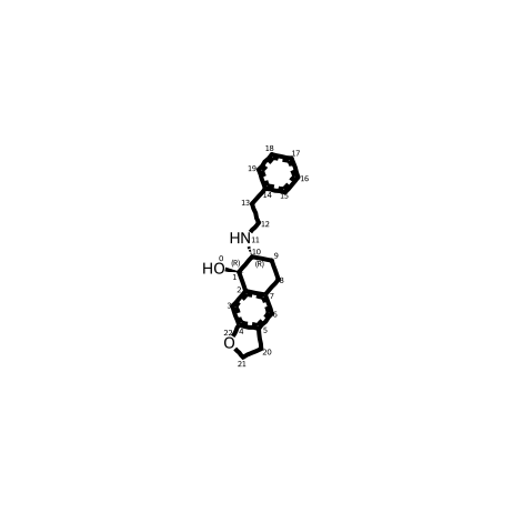 O[C@@H]1c2cc3c(cc2CC[C@H]1NCCc1ccccc1)CCO3